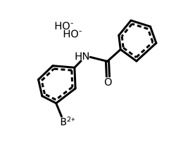 [B+2]c1cccc(NC(=O)c2ccccc2)c1.[OH-].[OH-]